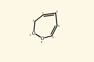 C1=CCOOC=C1